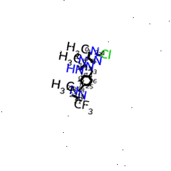 Cc1nc(Cl)nc2c1n(C)c(=N)n2Cc1ccc(-c2nc(C(F)(F)F)cn2C)cc1